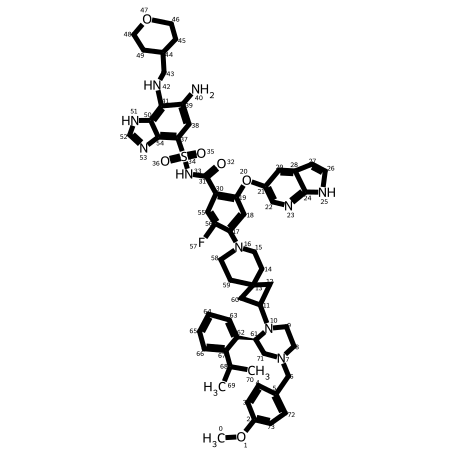 COc1ccc(CN2CCN(C3CC4(CCN(c5cc(Oc6cnc7[nH]ccc7c6)c(C(=O)NS(=O)(=O)c6cc(N)c(NCC7CCOCC7)c7[nH]cnc67)cc5F)CC4)C3)[C@H](c3ccccc3C(C)C)C2)cc1